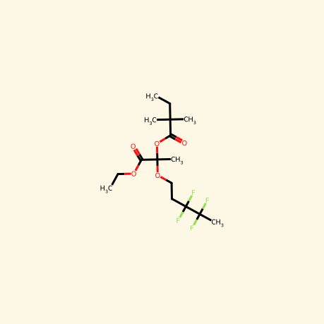 CCOC(=O)C(C)(OCCC(F)(F)C(C)(F)F)OC(=O)C(C)(C)CC